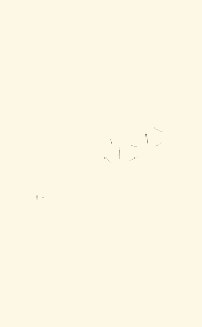 CCCCC1CCC(C2CCC(c3cc4ccc(-c5ccc(C)cc5)c(F)c4c(=O)o3)CC2)CC1